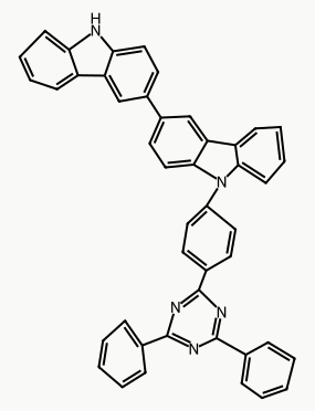 c1ccc(-c2nc(-c3ccccc3)nc(-c3ccc(-n4c5ccccc5c5cc(-c6ccc7[nH]c8ccccc8c7c6)ccc54)cc3)n2)cc1